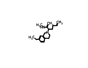 C=CCCC(C(=C)NC)N1CCc2ccc(CC)cc2C1